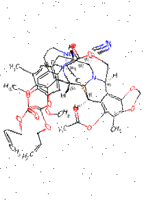 C=CCOC(=O)Oc1cc2c(cc1OC)[C@@]1(CS[C@@H]3c4c(OC(C)=O)c(C)c5c(c4[C@H](COC1=O)N1C3[C@@H]3c4c(cc(C)c(OC)c4OC(=O)OCC=C)C[C@H]([C@@H]1C#N)N3C)OCO5)NCC2